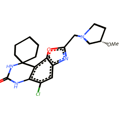 CO[C@H]1CCN(Cc2nc3cc(Cl)c4c(c3o2)C2(CCCCC2)NC(=O)N4)C1